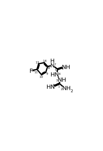 N=C(N)NNC(=N)Nc1ccc(F)cc1